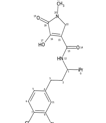 CC(C)C(CCc1ccc(Cl)c(Cl)c1)NC(=O)C1=C(O)C(=O)N(C)C1